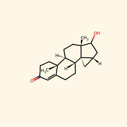 C[C@]12CCC(=O)C=C1CC[C@@H]1[C@@H]2CC[C@]2(C)C(O)C[C@@H]3C[C@]312